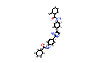 CC1CCCCC1C(=O)Nc1ccc(-c2cnc(-c3ccc(NC(=O)C4CCCCC4)cc3)[nH]2)cc1